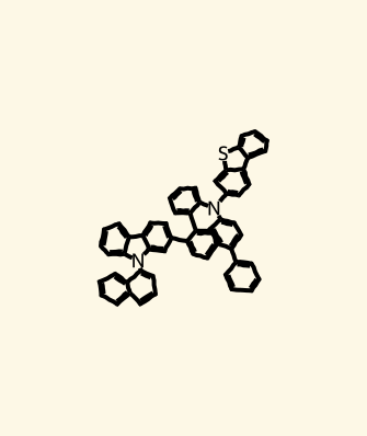 c1ccc(-c2ccc(N(c3ccc4c(c3)sc3ccccc34)c3ccccc3-c3ccccc3-c3ccc4c5ccccc5n(-c5cccc6ccccc56)c4c3)cc2)cc1